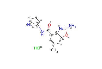 Cc1cc(C(=O)NC2CN3CCC2CC3)c2nc(N)oc2c1.Cl